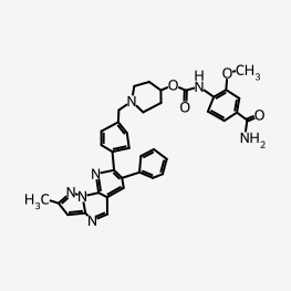 COc1cc(C(N)=O)ccc1NC(=O)OC1CCN(Cc2ccc(-c3nc4c(cnc5cc(C)nn54)cc3-c3ccccc3)cc2)CC1